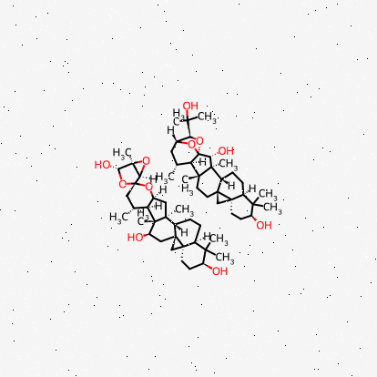 C[C@@H]1C[C@@]2(O[C@H]3C[C@@]4(C)[C@@H]5CC[C@H]6C(C)(C)[C@@H](O)CC[C@@]67C[C@@]57C[C@@H](O)[C@]4(C)[C@@H]13)O[C@H](O)[C@@]1(C)O[C@@H]21.C[C@@H]1C[C@H]2O[C@@]3(O[C@@H]2C(C)(C)O)[C@H](O)[C@@]2(C)[C@@H]4CC[C@H]5C(C)(C)[C@@H](O)CC[C@@]56C[C@@]46CC[C@]2(C)[C@@H]13